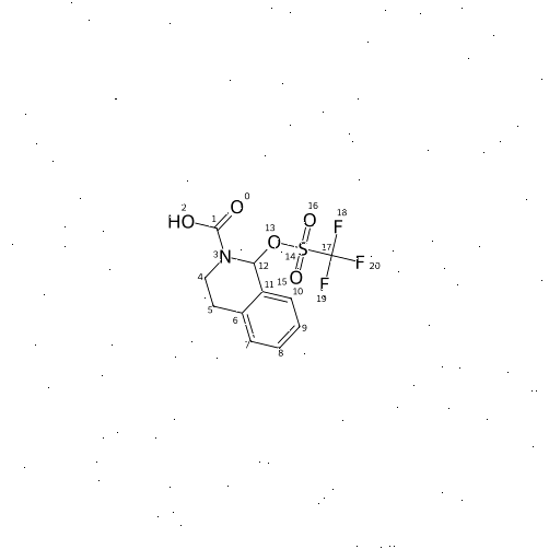 O=C(O)N1CCc2ccccc2C1OS(=O)(=O)C(F)(F)F